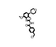 COc1ccc(N2CCOCC2)c2sc(NC(=O)c3ccc(CCl)cc3)nc12